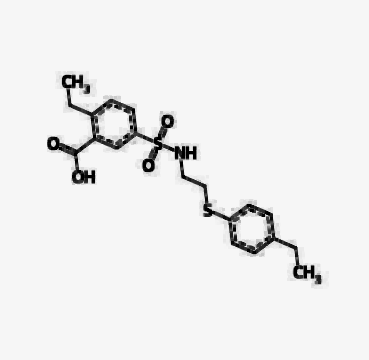 CCc1ccc(SCCNS(=O)(=O)c2ccc(CC)c(C(=O)O)c2)cc1